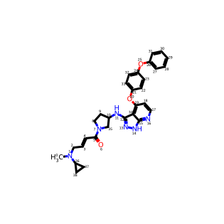 CN(CC=CC(=O)N1CCC(Nc2n[nH]c3nccc(Oc4ccc(Oc5ccccc5)cc4)c23)C1)C1CC1